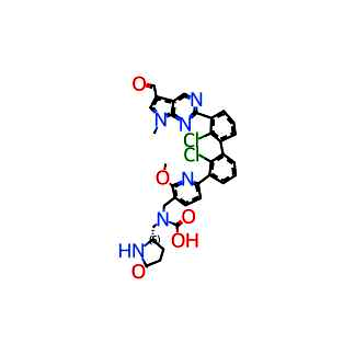 COc1nc(-c2cccc(-c3cccc(-c4ncc5c(C=O)cn(C)c5n4)c3Cl)c2Cl)ccc1CN(C[C@@H]1CCC(=O)N1)C(=O)O